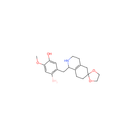 Bc1cc(OC)c(O)cc1CC1NCCC2=C1CCC1(C2)OCCO1